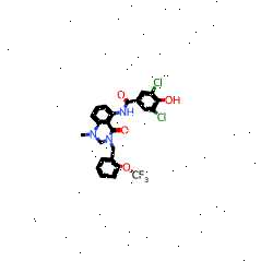 CN1CN(Cc2ccccc2OC(F)(F)F)C(=O)c2c(NC(=O)c3cc(Cl)c(O)c(Cl)c3)cccc21